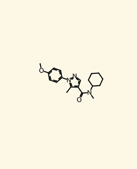 COc1ccc(-n2ncc(C(=O)N(C)C3CCCCC3)c2C)cc1